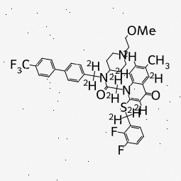 [2H]c1c(C)c([2H])c2c(=O)c([2H])c(SC([2H])([2H])c3cccc(F)c3F)n(C([2H])([2H])C(=O)N(C3CCN(CCOC)CC3)C([2H])([2H])c3ccc(-c4ccc(C(F)(F)F)cc4)cc3)c2c1[2H]